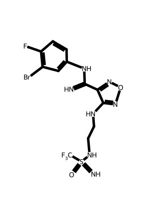 N=C(Nc1ccc(F)c(Br)c1)c1nonc1NCCNS(=N)(=O)C(F)(F)F